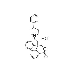 Cl.O=C1OCC(CCN2CCC(c3ccccc3)CC2)(c2ccccc2)c2ccccc21